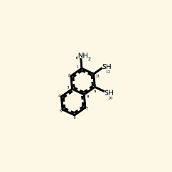 Nc1cc2ccccc2c(S)c1S